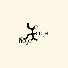 C=CC(=O)C(CCO)(C(=O)O)C(C)C(=O)O